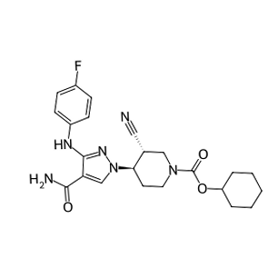 N#C[C@@H]1CN(C(=O)OC2CCCCC2)CC[C@H]1n1cc(C(N)=O)c(Nc2ccc(F)cc2)n1